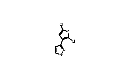 Clc1cc(C2=N[N]C=C2)c(Cl)s1